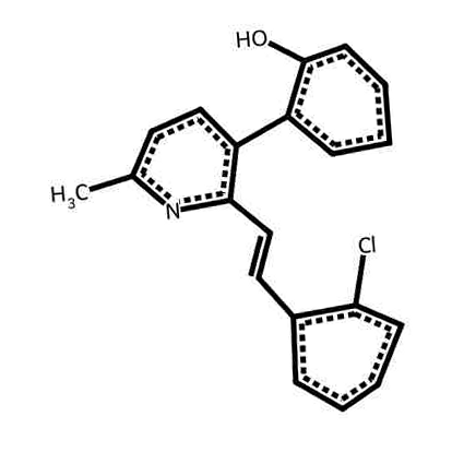 Cc1ccc(-c2ccccc2O)c(C=Cc2ccccc2Cl)n1